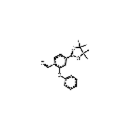 CC1(C)OB(c2ccc(C=O)c(Oc3ccccc3)c2)OC1(C)C